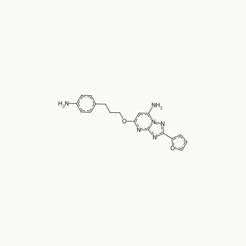 Nc1ccc(CCCOc2cc(N)n3nc(-c4ccco4)nc3n2)cc1